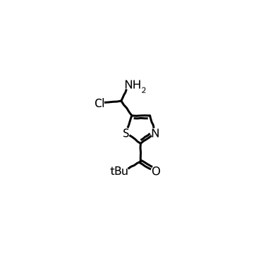 CC(C)(C)C(=O)c1ncc(C(N)Cl)s1